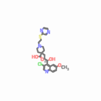 COc1ccc2ncc(Cl)c([C@H](O)CCC3(C(=O)O)CCN(CCSc4cnccn4)CC3)c2c1